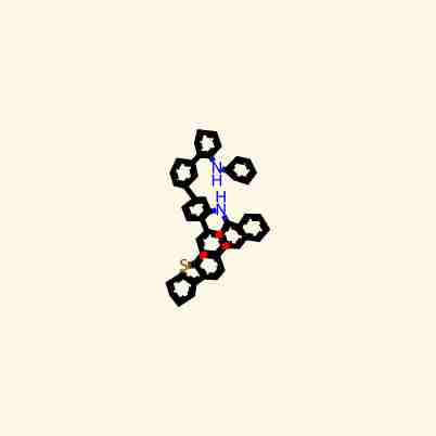 c1ccc(Nc2ccccc2-c2cccc(-c3ccc(-c4ccccc4)c(Nc4cc(-c5ccc6c(c5)sc5ccccc56)cc5ccccc45)c3)c2)cc1